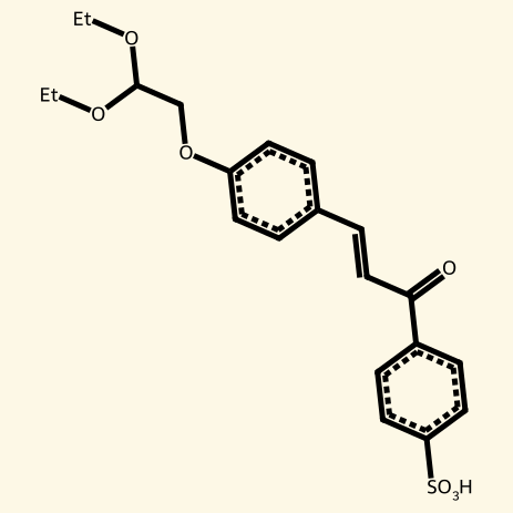 CCOC(COc1ccc(C=CC(=O)c2ccc(S(=O)(=O)O)cc2)cc1)OCC